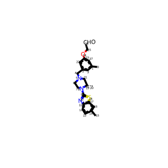 Cc1cc(CN2CCN(c3nc4ccc(C)cc4s3)[C@@H](C)C2)cc(OCC=O)c1